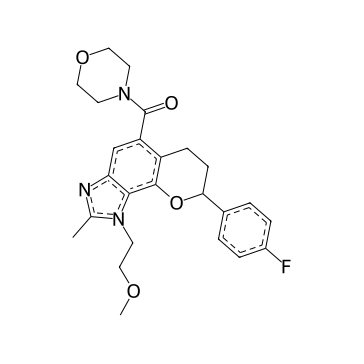 COCCn1c(C)nc2cc(C(=O)N3CCOCC3)c3c(c21)OC(c1ccc(F)cc1)CC3